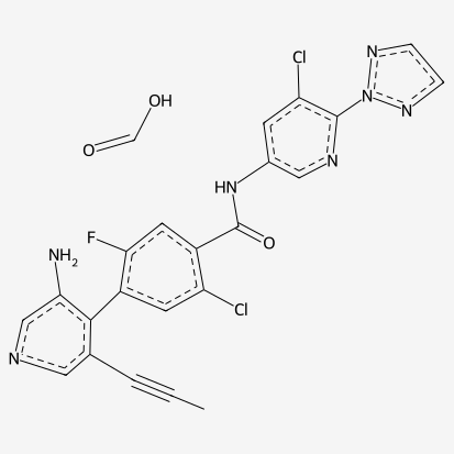 CC#Cc1cncc(N)c1-c1cc(Cl)c(C(=O)Nc2cnc(-n3nccn3)c(Cl)c2)cc1F.O=CO